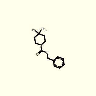 CC(C)C1(C)CCN(C(=O)OCc2ccccc2)CC1